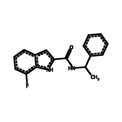 CC(NC(=O)c1cc2cccc(F)c2[nH]1)c1ccccc1